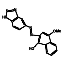 COc1cc(N=Nc2ccc3[nH]nnc3c2)c(O)c2ccccc12